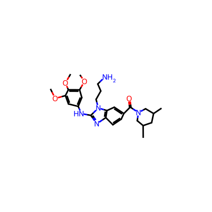 COc1cc(Nc2nc3ccc(C(=O)N4CC(C)CC(C)C4)cc3n2CCCN)cc(OC)c1OC